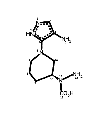 Nc1cn[nH]c1N1CCC[C@H](N(N)C(=O)O)C1